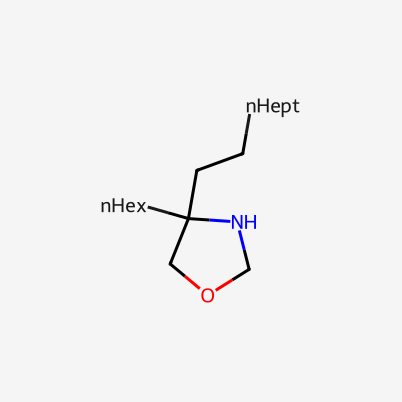 CCCCCCCCCC1(CCCCCC)COCN1